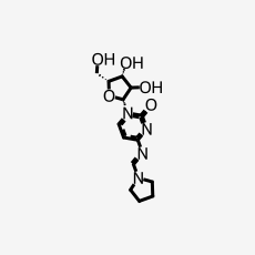 O=c1nc(/N=C/N2CCCC2)ccn1[C@@H]1O[C@H](CO)[C@H](O)C1O